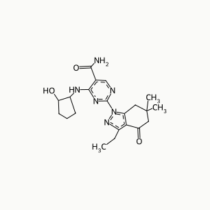 CCc1nn(-c2ncc(C(N)=O)c(NC3CCCC3O)n2)c2c1C(=O)CC(C)(C)C2